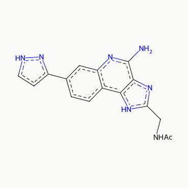 CC(=O)NCc1nc2c(N)nc3cc(-c4cc[nH]n4)ccc3c2[nH]1